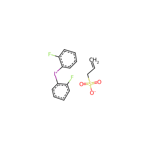 C=CCS(=O)(=O)[O-].Fc1ccccc1[I+]c1ccccc1F